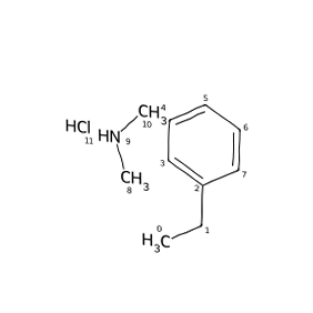 CCc1ccccc1.CNC.Cl